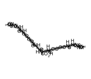 Cc1ccc2nc(-c3ccc(NCCC(=O)NCCOCCOCCOCCOCCC(=O)NCCCCCC(=O)NC(CCCCNC(=O)CCOCCOCCOCCOCCNC(=O)CCNc4ccc(-c5nc6ccc(C)cc6s5)cc4)C(=O)O)cc3)sc2c1